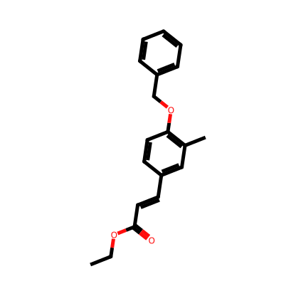 CCOC(=O)/C=C/c1ccc(OCc2ccccc2)c(C)c1